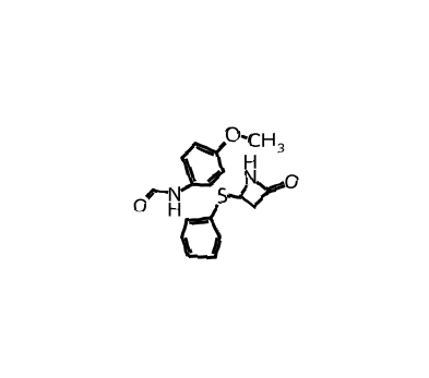 COc1ccc(NC=O)cc1.O=C1CC(Sc2ccccc2)N1